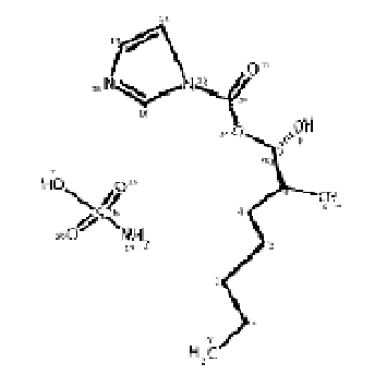 CCCCCC(C)[C@@H](O)OC(=O)n1ccnc1.NS(=O)(=O)O